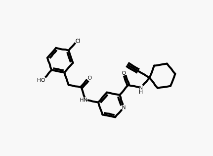 C#CC1(NC(=O)c2cc(NC(=O)Cc3cc(Cl)ccc3O)ccn2)CCCCC1